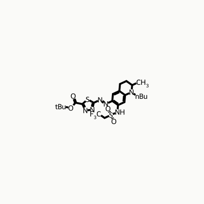 CCCCN1c2cc(NS(=O)(=O)CC(F)(F)F)c(N=Nc3nnc(C(=O)OC(C)(C)C)s3)cc2CCC1C